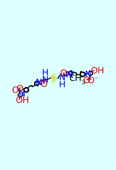 CC1C(/C=C/c2ccc(N3CC(O)CC3C(=O)[O-])cc2)=CC=[N+]1CC(=O)NCCSSCCNC(=O)C[n+]1ccc(/C=C/c2ccc(N3CC(O)CC3C(=O)[O-])cc2)cc1